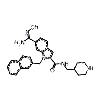 N/C(=N/O)c1ccc2cc(C(=O)NCC3CCNCC3)n(Cc3ccc4ccccc4c3)c2c1